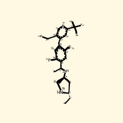 CC[C@H]1CC(NC(C)c2cc(F)c(-c3cc(C(C)(C)F)ncc3CF)cc2F)=CN1